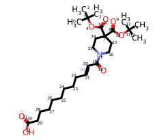 CC(C)(C)OC(=O)C1(C(=O)OC(C)(C)C)CCN(C(=O)/C=C/CCCCCCCCC(=O)O)CC1